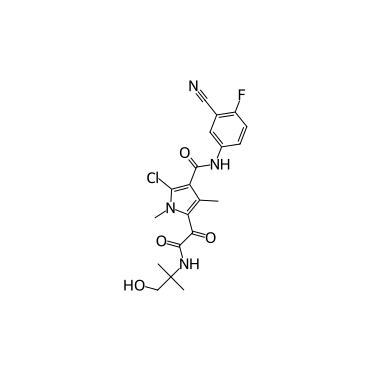 Cc1c(C(=O)Nc2ccc(F)c(C#N)c2)c(Cl)n(C)c1C(=O)C(=O)NC(C)(C)CO